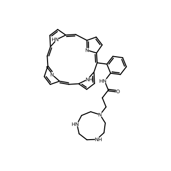 O=C(CCN1CCNCCNCC1)Nc1ccccc1-c1c2nc(cc3ccc(cc4nc(cc5ccc1[nH]5)C=C4)[nH]3)C=C2